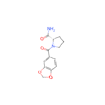 NC(=O)[C@@H]1CCCN1C(=O)c1ccc2c(c1)OCO2